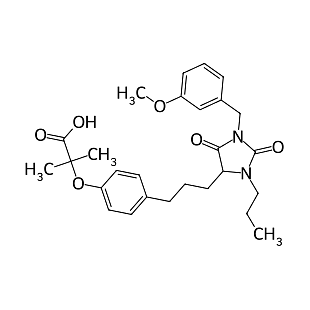 CCCN1C(=O)N(Cc2cccc(OC)c2)C(=O)C1CCCc1ccc(OC(C)(C)C(=O)O)cc1